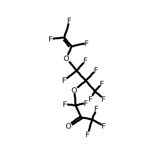 O=C(C(F)(F)F)C(F)(F)OC(F)(C(F)(F)F)C(F)(F)OC(F)=C(F)F